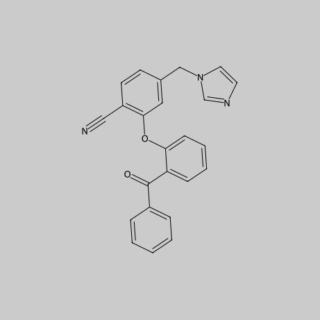 N#Cc1ccc(Cn2ccnc2)cc1Oc1ccccc1C(=O)c1ccccc1